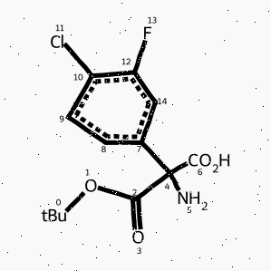 CC(C)(C)OC(=O)C(N)(C(=O)O)c1ccc(Cl)c(F)c1